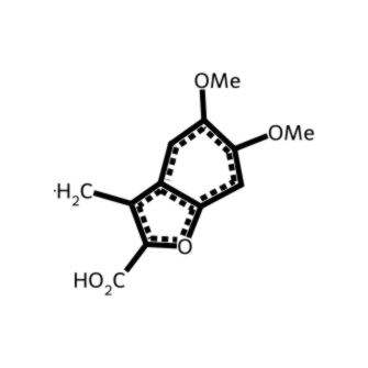 [CH2]c1c(C(=O)O)oc2cc(OC)c(OC)cc12